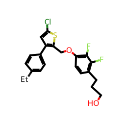 CCc1ccc(-c2cc(Cl)sc2COc2ccc(CCCO)c(F)c2F)cc1